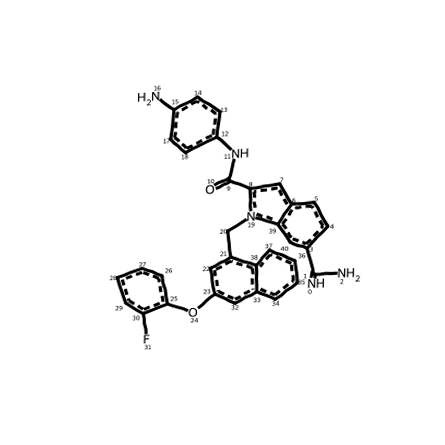 N=C(N)c1ccc2cc(C(=O)Nc3ccc(N)cc3)n(Cc3cc(Oc4ccccc4F)cc4ccccc34)c2c1